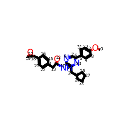 COc1ccc(-c2cnc(NC(=O)Cc3ccc(C4CO4)cc3)c(CC3CCCC3)n2)cc1